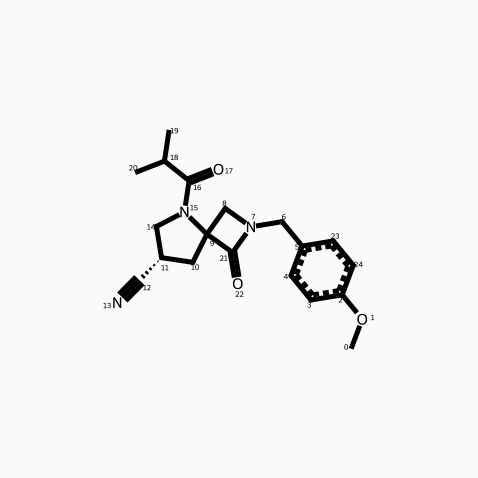 COc1ccc(CN2CC3(C[C@H](C#N)CN3C(=O)C(C)C)C2=O)cc1